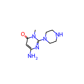 Cn1c(N2CCNCC2)nc(N)cc1=O